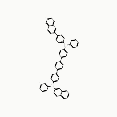 c1ccc(N(c2ccc(-c3ccc(-c4ccc(N(c5ccccc5)c5ccc6ccccc6c5)cc4)cc3)cc2)c2ccc(-c3ccc4ccccc4c3)cc2)cc1